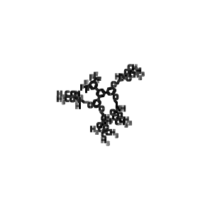 CC(C)(C)OC(=O)NCCCOc1cc(OCCCNC(=O)OC(C)(C)C)cc(-c2cc(-c3cc(OCCCNC(=O)OC(C)(C)C)cc(OCCCNC(=O)OC(C)(C)C)c3)cc(-c3cc(C(F)(F)F)cc(C(F)(F)F)c3)c2)c1